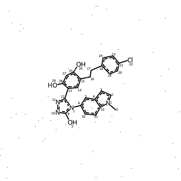 Cn1ccc2cc(-n3c(O)nnc3-c3cc(CCc4ccc(Cl)cc4)c(O)cc3O)ccc21